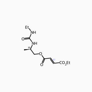 CCNC(=O)N[C@H](C)COC(=O)/C=C/C(=O)OCC